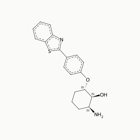 N[C@H]1CCC[C@H](Oc2ccc(-c3nc4ccccc4s3)cc2)[C@H]1O